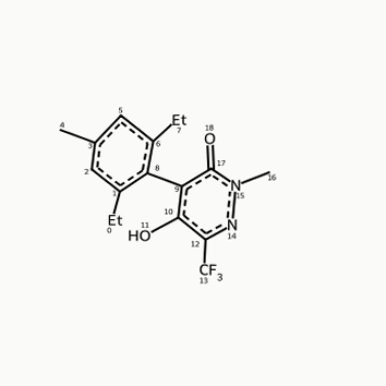 CCc1cc(C)cc(CC)c1-c1c(O)c(C(F)(F)F)nn(C)c1=O